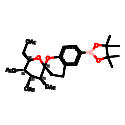 CC(=O)OC[C@H]1O[C@@]2(CCc3cc(B4OC(C)(C)C(C)(C)O4)ccc3O2)[C@@H](OC(C)=O)[C@@H](OC(C)=O)[C@@H]1OC(C)=O